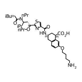 CCCO[C@H](CC(C(C)C)N(CCC)C(=O)C[C@@H](C)CC)c1nc(C(=O)N[C@H]2Cc3ccc(OCCCCN)cc3[C@H](C(=O)O)C2)cs1